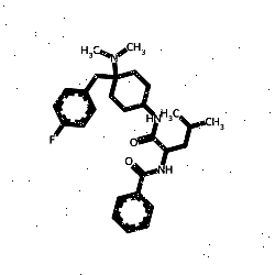 CC(C)CC(NC(=O)c1ccccc1)C(=O)NC1CCC(Cc2ccc(F)cc2)(N(C)C)CC1